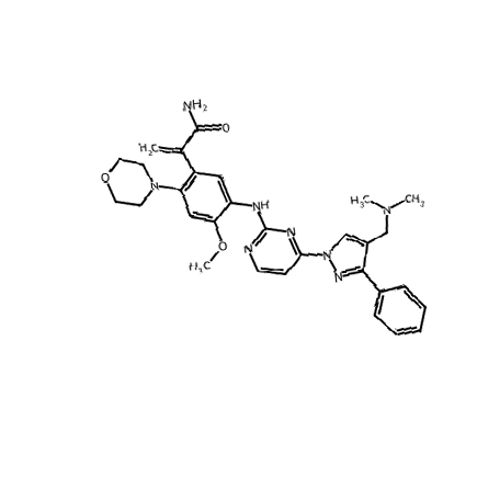 C=C(C(N)=O)c1cc(Nc2nccc(-n3cc(CN(C)C)c(-c4ccccc4)n3)n2)c(OC)cc1N1CCOCC1